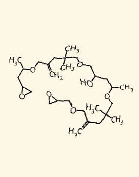 C=C(COC(C)CC1CO1)CC(C)(C)COCC(O)CC(C)OCC(C)(C)CC(=C)COCC1CO1